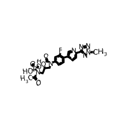 CC(=O)N(CC1CN(c2ccc(-c3ccc(-c4nnn(C)n4)nc3)c(F)c2)C(=O)O1)P(=O)(O)O